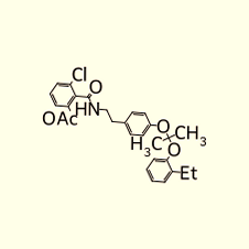 CCc1ccccc1OC(C)(C)Oc1ccc(CCNC(=O)c2c(Cl)cccc2OC(C)=O)cc1